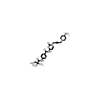 CC(N)(CO)C(=O)Nc1ccc(C(=O)Nc2ccn(CC#CCN3CCC(N)CC3)c(=O)n2)cc1